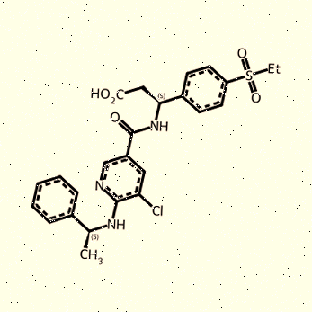 CCS(=O)(=O)c1ccc([C@H](CC(=O)O)NC(=O)c2cnc(N[C@@H](C)c3ccccc3)c(Cl)c2)cc1